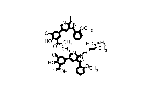 COc1ccccc1-c1n[nH]c2ncc(-c3cc(Cl)c(O)c(C(=O)N(C)C)c3)cc12.COc1ccccc1-c1nn(COCC[Si](C)(C)C)c2ncc(-c3cc(Cl)c(O)c(C(=O)O)c3)cc12